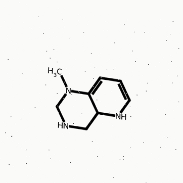 CN1CNCC2NC=CC=C21